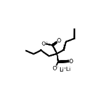 CCCCC(CCCC)(C(=O)[O-])C(=O)[O-].[Li+].[Li+]